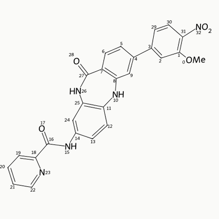 COc1cc(-c2ccc3c(c2)Nc2ccc(NC(=O)c4ccccn4)cc2NC3=O)ccc1[N+](=O)[O-]